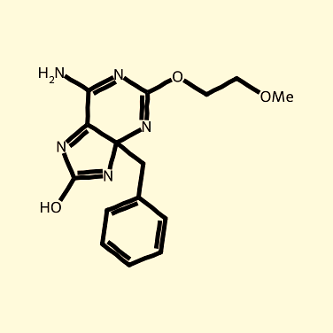 COCCOC1=NC2(Cc3ccccc3)N=C(O)N=C2C(N)=N1